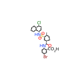 Cc1ccc(C(=O)Nc2ccc(Br)cc2C(=O)O)cc1S(=O)(=O)Nc1ccc(Cl)c2ccccc12